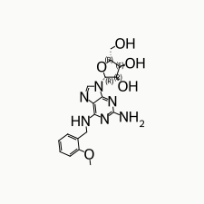 COc1ccccc1CNc1nc(N)nc2c1ncn2[C@@H]1O[C@H](CO)[C@@H](O)[C@H]1O